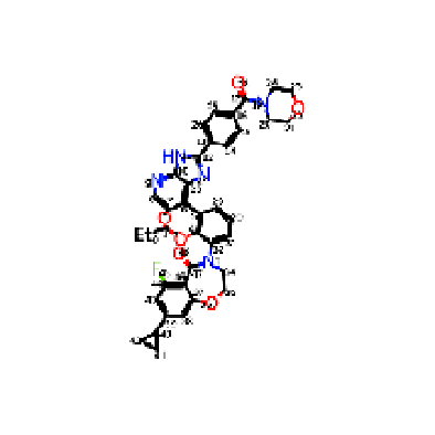 CCC(=O)Oc1c(-c2ccnc3[nH]c(-c4ccc(C(=O)N5CCOCC5)cc4)nc23)cccc1N1CCOc2cc(C3CC3)cc(F)c2C1=O